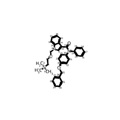 C[Si](C)(C)CCOCn1cc(C(=O)N(c2ccccc2)c2ccc(OCc3ccccc3)cc2)c2ccccc21